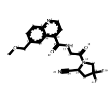 COCc1ccc2nccc(C(=O)NCC(=O)N3CC(F)(F)CC3C#N)c2c1